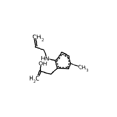 C=CCNc1ccc(C)cc1CC(=C)O